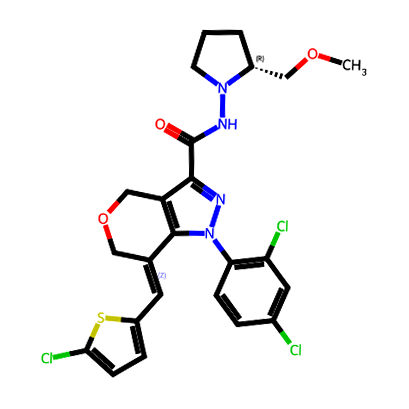 COC[C@H]1CCCN1NC(=O)c1nn(-c2ccc(Cl)cc2Cl)c2c1COC/C2=C\c1ccc(Cl)s1